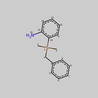 CS(C)(Cc1ccccc1)c1ccccc1N